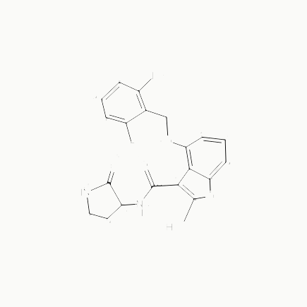 Cc1oc2cccc(OCc3c(F)cccc3F)c2c1C(=O)NC1CCNC1=O